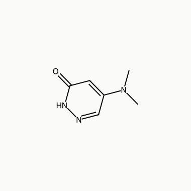 CN(C)c1cn[nH]c(=O)c1